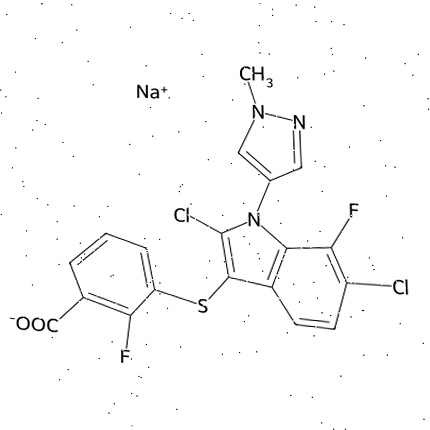 Cn1cc(-n2c(Cl)c(Sc3cccc(C(=O)[O-])c3F)c3ccc(Cl)c(F)c32)cn1.[Na+]